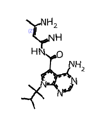 C/C(N)=C/C(=N)NC(=O)c1cn(C(C)(C)C(C)C)c2ncnc(N)c12